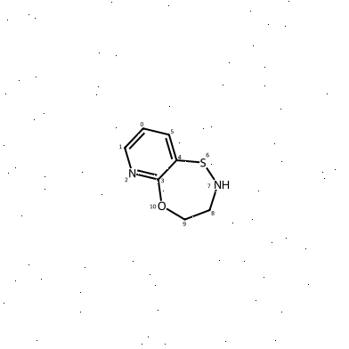 c1cnc2c(c1)SNCCO2